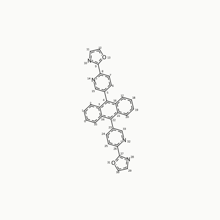 c1ccc2c(-c3ccc(-c4ncco4)nc3)c3ccccc3c(-c3ccc(-c4ncco4)nc3)c2c1